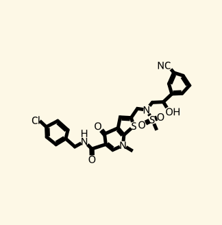 Cn1cc(C(=O)NCc2ccc(Cl)cc2)c(=O)c2cc(CN(CC(O)c3cccc(C#N)c3)S(C)(=O)=O)sc21